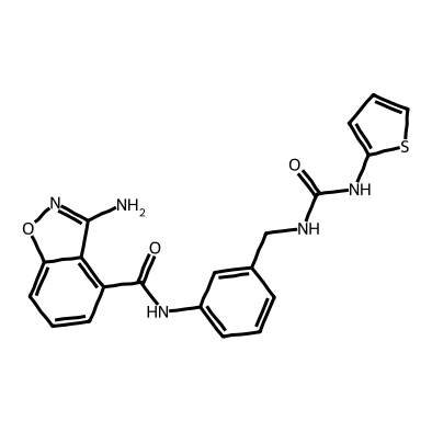 Nc1noc2cccc(C(=O)Nc3cccc(CNC(=O)Nc4cccs4)c3)c12